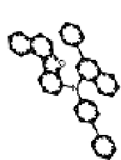 c1ccc(-c2ccc(N(c3cc(-c4ccccc4)cc4ccccc34)c3cccc4c3oc3ccc5ccccc5c34)cc2)cc1